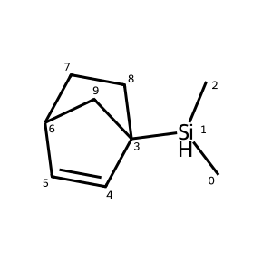 C[SiH](C)C12C=CC(CC1)C2